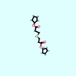 O=C(CCSCCC(=O)OC1CCCC1)OC1CCCC1